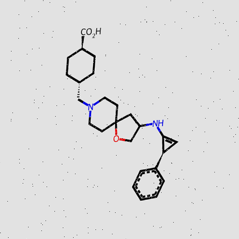 O=C(O)[C@H]1CC[C@H](CN2CCC3(CC2)CC(NC2=C[C@H]2c2ccccc2)CO3)CC1